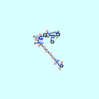 CC(C)[C@H](NC(=O)CCOCCOCCOCCOCCNC(=O)CCN1C(=O)C=CC1=O)C(=O)N[C@@H](C)C(=O)Nc1ccc(C(=O)N(CCCN)[C@@H](c2cc(-c3cc(F)ccc3F)cn2Cc2ccccc2)C(C)(C)C)cc1